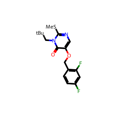 CSc1ncc(OCc2ccc(F)cc2F)c(=O)n1CC(C)(C)C